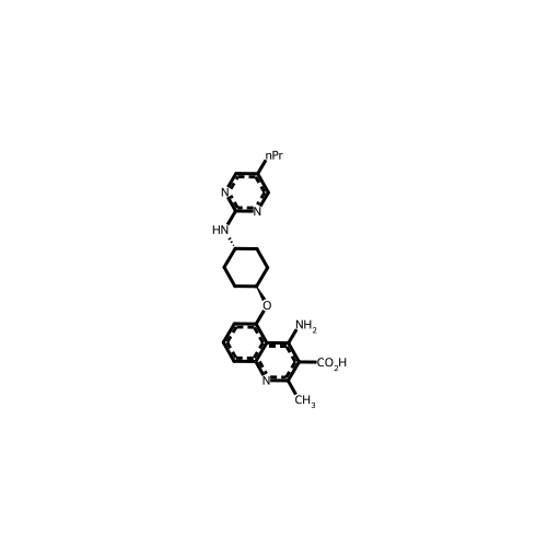 CCCc1cnc(N[C@H]2CC[C@H](Oc3cccc4nc(C)c(C(=O)O)c(N)c34)CC2)nc1